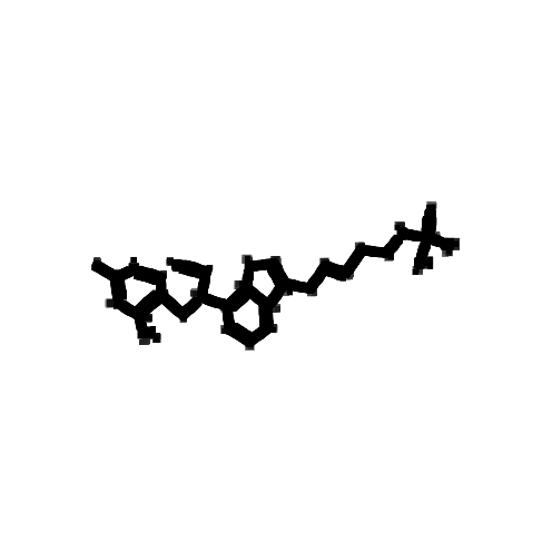 Cc1ncc(CN(C=O)c2cccc3c(CC=CCCOP(=O)(O)O)csc23)c(N)n1